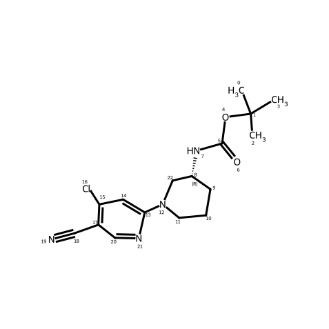 CC(C)(C)OC(=O)N[C@@H]1CCCN(c2cc(Cl)c(C#N)cn2)C1